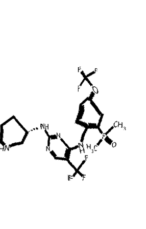 CP(C)(=O)c1cc(OC(F)(F)F)ccc1Nc1nc(N[C@H]2CCCNC2)ncc1C(F)(F)F